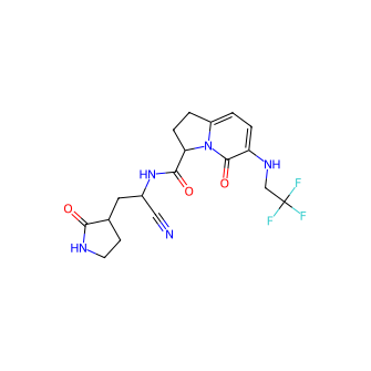 N#CC(CC1CCNC1=O)NC(=O)C1CCc2ccc(NCC(F)(F)F)c(=O)n21